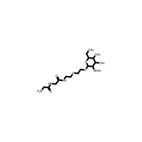 CC(=O)NC1C(OCCOCCNC(=O)CNC(=O)CN)OC(COC(C)=O)C(OC(C)=O)C1OC(C)=O